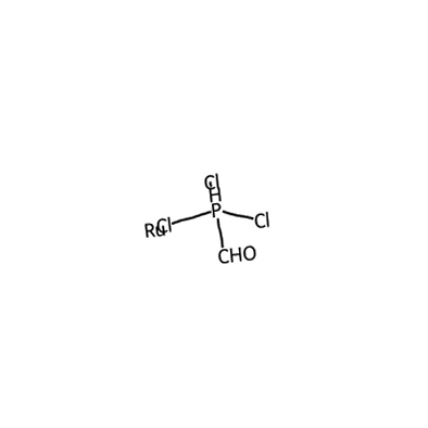 O=C[PH](Cl)(Cl)Cl.[Ru]